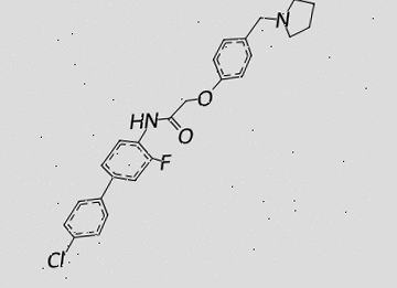 O=C(COc1ccc(CN2CCCC2)cc1)Nc1ccc(-c2ccc(Cl)cc2)cc1F